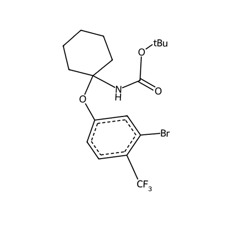 CC(C)(C)OC(=O)NC1(Oc2ccc(C(F)(F)F)c(Br)c2)CCCCC1